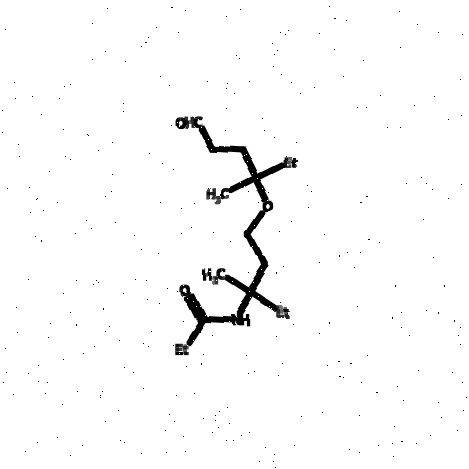 CCC(=O)NC(C)(CC)CCOC(C)(CC)CCC=O